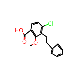 COc1c(C(=O)O)ccc(Cl)c1CCc1ccccc1